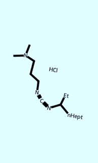 CCCCCCCC(CC)N=C=NCCCN(C)C.Cl